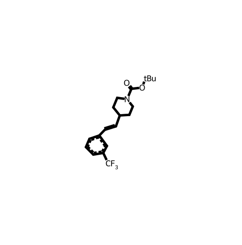 CC(C)(C)OC(=O)N1CCC(/C=C/c2cccc(C(F)(F)F)c2)CC1